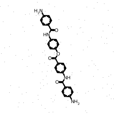 Nc1ccc(C(=O)Nc2ccc(OC(=O)c3ccc(NC(=O)c4ccc(N)cc4)cc3)cc2)cc1